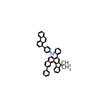 CC1(C)c2ccccc2-c2ccc(-c3ccccc3N(c3ccc(-c4cccc5c4ccc4ccccc45)cc3)c3ccc4cc(-c5ccccc5)ccc4c3)cc21